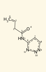 C=CCC(=O)Nc1ccnnn1